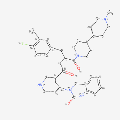 CN1CCC(C2CCN(C(=O)C(CC(=O)C3CNCCC3N3Cc4ccccc4NC3=O)Cc3ccc(F)c(C(F)(F)F)c3)CC2)CC1